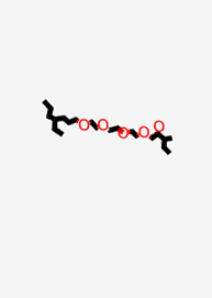 CCCC(CC)CCCOCCOCCOCCOCC(=O)C(C)CC